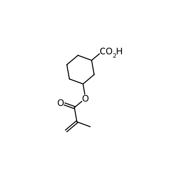 C=C(C)C(=O)OC1CCCC(C(=O)O)C1